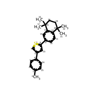 Cc1ccc(-c2csc(-c3ccc4c(c3)C(C)(C)CCC4(C)C)c2)cc1